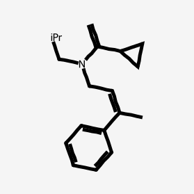 C=C(C1CC1)N(C/C=C(/C)c1ccccc1)CC(C)C